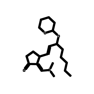 CCCCCC(C=CC1CCC(=O)/C1=C/N(C)C)OC1CCCCO1